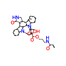 C=CC(=O)NCCCOC(=O)[C@@]1(O)CC2O[C@]1(C)n1c3ccccc3c3c4c(c5c6ccccc6n2c5c31)C(=O)NC4